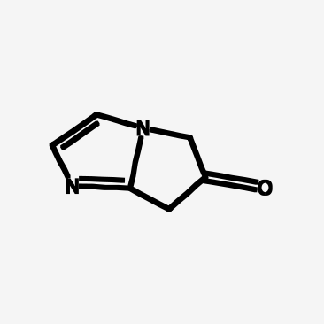 O=C1Cc2nccn2C1